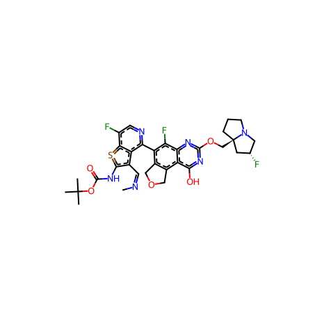 C/N=C\c1c(NC(=O)OC(C)(C)C)sc2c(F)cnc(-c3c4c(c5c(O)nc(OC[C@@]67CCCN6C[C@H](F)C7)nc5c3F)COC4)c12